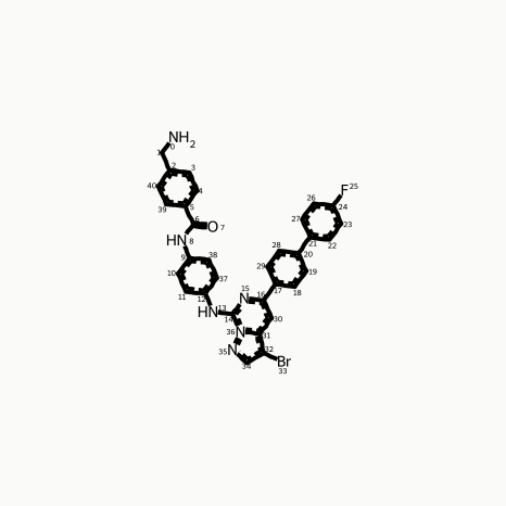 NCc1ccc(C(=O)Nc2ccc(Nc3nc(-c4ccc(-c5ccc(F)cc5)cc4)cc4c(Br)cnn34)cc2)cc1